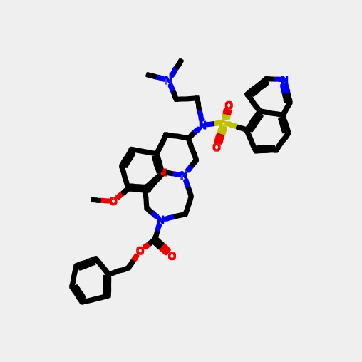 COc1ccc(CC(CN2CCCN(C(=O)OCc3ccccc3)CC2)N(CCN(C)C)S(=O)(=O)c2cccc3cnccc23)cc1